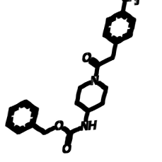 O=C(NC1CCN(C(=O)Cc2ccc(C(F)(F)F)cc2)CC1)OCc1ccccc1